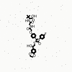 CC(C)(C)[C@@H](NC(=O)CNC(=O)COc1ccc([C@@H]2[C@@H](SCC(O)c3ccc4c(c3)OCCO4)C(=O)N2c2ccc(F)cc2)cc1)C(=O)O